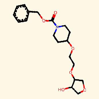 O=C(OCc1ccccc1)N1CCC(OCCOC2COCC2O)CC1